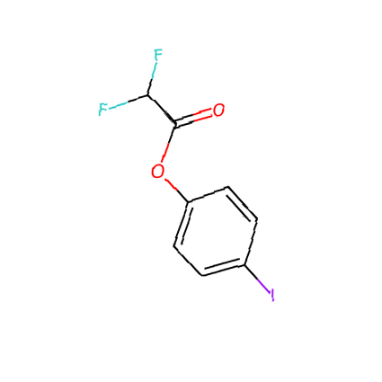 O=C(Oc1ccc(I)cc1)C(F)F